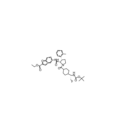 CCOC(=O)c1cc2cc(NC(=O)[C@H]3[C@H](c4ccccc4C)CCN3C(=O)C3CCC([C@@H](CF)NC(=O)OC(C)(C)C)CC3)ccc2o1